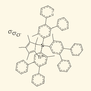 CC1=C(C)C(C)([Si](c2cc(-c3ccccc3)c(-c3ccccc3)cc2C)(c2cc(-c3ccccc3)c(-c3ccccc3)cc2C)c2cc(-c3ccccc3)c(-c3ccccc3)cc2C)[C]([Ti+3])=C1C.[Cl-].[Cl-].[Cl-]